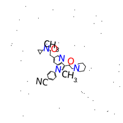 Cc1c(C(=O)CN2CCCCC2)c2ncc(CC(=O)N(C)C3CC3)cc2n1-c1ccc(C#N)cc1